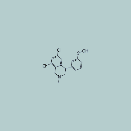 CN1Cc2c(Cl)cc(Cl)cc2[C@H](c2cccc(SO)c2)C1